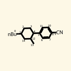 CCCCC1CCC(c2ccc(C#N)cc2)C(C)C1